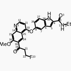 CCNC(=O)c1cc2cc(Oc3ccnc4cc(OC)c(C(=O)CCF)cc34)ccc2[nH]1